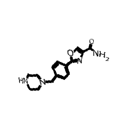 NC(=O)c1coc(-c2ccc(CN3CCNCC3)cc2)n1